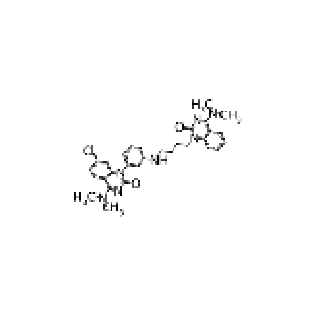 CN(C)c1nc(=O)n(CCCCNc2cccc(-n3c(=O)nc(N(C)C)c4ccc(Cl)cc43)c2)c2ccccc12